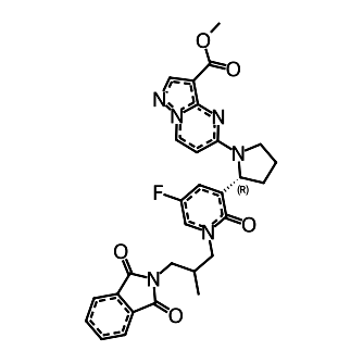 COC(=O)c1cnn2ccc(N3CCC[C@@H]3c3cc(F)cn(CC(C)CN4C(=O)c5ccccc5C4=O)c3=O)nc12